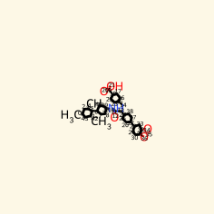 Cc1cc(C)c(-c2ccc(NC(=O)[C@H](Cc3ccc(C(=O)O)cc3)c3ccc(-c4ccc5c(c4)OCO5)cc3)cc2)c(C)c1